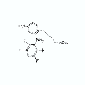 CCCCCCCCCCCCCCc1ccc(N)cc1.Nc1c(F)c(F)cc(F)c1F